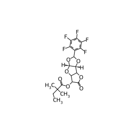 CCC(C)(C)C(=O)OC1C(=O)OC2C1O[C@@H]1OC(c3c(F)c(F)c(F)c(F)c3F)O[C@H]21